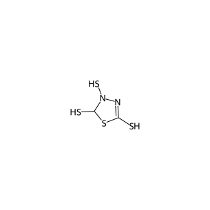 SC1=NN(S)C(S)S1